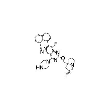 N#Cc1cccc2cccc(-c3ncc4c(N5CCNCC5)nc(OCC56CCCN5C[C@H](F)C6)nc4c3F)c12